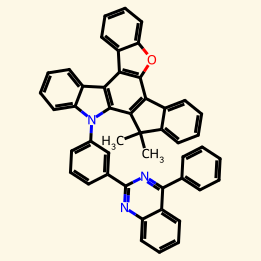 CC1(C)c2ccccc2-c2c1c1c(c3ccccc3n1-c1cccc(-c3nc(-c4ccccc4)c4ccccc4n3)c1)c1c2oc2ccccc21